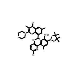 Cc1cc(C(C)Nc2ccc(Cl)nc2-c2cc(C=O)c(B3OC(C)(C)C(C)(C)O3)cc2F)c2oc(N3CCOCC3)c(C)c(=O)c2c1